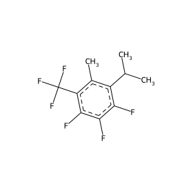 Cc1c(C(C)C)c(F)c(F)c(F)c1C(F)(F)F